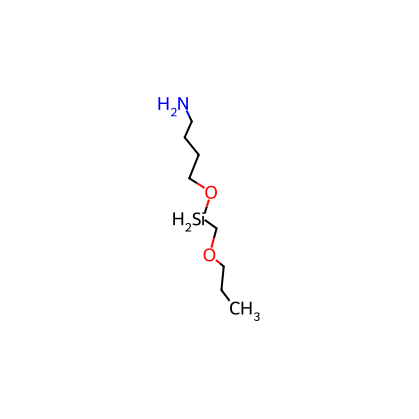 CCCOC[SiH2]OCCCCN